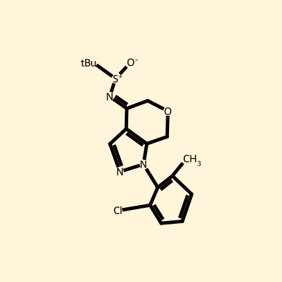 Cc1cccc(Cl)c1-n1ncc2c1COCC2=N[S+]([O-])C(C)(C)C